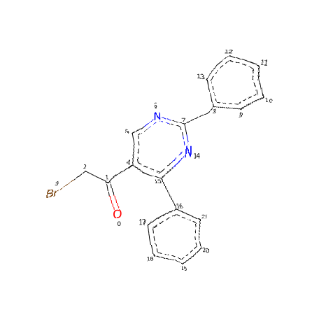 O=C(CBr)c1cnc(-c2ccccc2)nc1-c1ccccc1